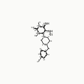 CCNc1c(N2CCN(Cc3ccc(F)cc3)CC2)n(C)c(=S)n(C)c1=N